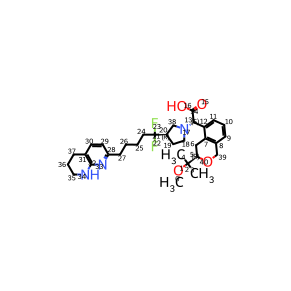 COC(C)(C)[C@H]1Cc2c(cccc2[C@@H](C(=O)O)N2CC[C@@H](C(F)(F)CCCCc3ccc4c(n3)NCCC4)C2)CO1